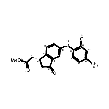 COC(=O)C[C@H]1CC(=O)c2cc(Oc3ccc(C(F)(F)F)cc3Cl)ccc21